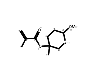 C=C(C)C(=O)OC1(C)CCC(OC)SC1